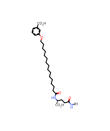 CCNC(=O)CC[C@H](NC(=O)CCCCCCCCCCCCCCCOc1cccc(C(=O)O)c1)C(=O)O